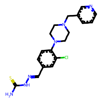 NC(=S)N/N=C/c1ccc(N2CCN(Cc3cccnc3)CC2)c(Cl)c1